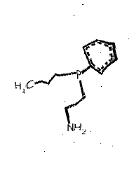 CCCP(CCN)c1ccccc1